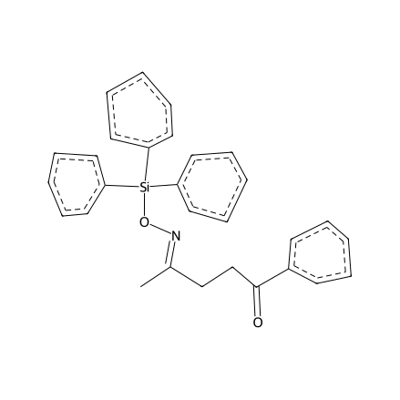 CC(CCC(=O)c1ccccc1)=NO[Si](c1ccccc1)(c1ccccc1)c1ccccc1